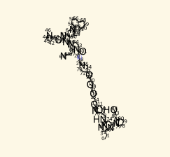 CCc1cnn2c(NCc3ccc(OCCOCCOCCOC4CCN(C/C=C/C(=O)N5CCN(c6nc(OC[C@@H]7CCCN7C)nc7c6CCN(c6cccc8cccc(Cl)c68)C7)C[C@@H]5CC#N)CC4)nc3)cc(N3CCCC[C@H]3CCO)nc12